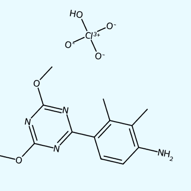 COc1nc(OC)nc(-c2ccc(N)c(C)c2C)n1.[O-][Cl+3]([O-])([O-])O